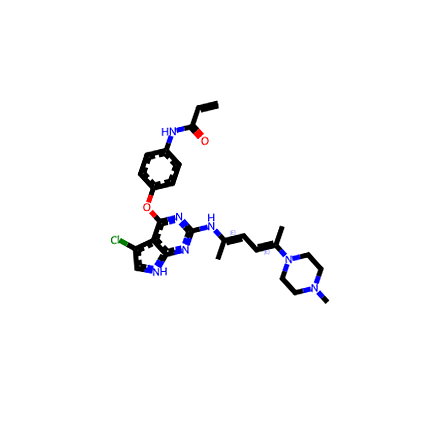 C=CC(=O)Nc1ccc(Oc2nc(N/C(C)=C/C=C(\C)N3CCN(C)CC3)nc3[nH]cc(Cl)c23)cc1